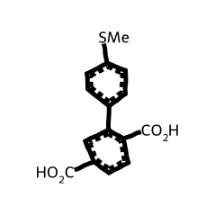 CSc1ccc(-c2cc(C(=O)O)ccc2C(=O)O)cc1